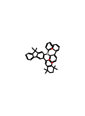 CC1(C)CCC(C)(C)c2cc(-c3cc4c(cc3N(c3ccccc3)c3ccccc3-c3ccccc3)C(C)(C)c3ccccc3-4)ccc21